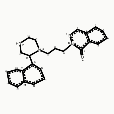 O=c1c2ccccc2cnn1CCCN1CCNCC1c1cccc2ccccc12